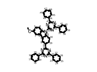 COc1ccc2c(c1)c1cc(-c3nc(-c4ccccc4)nc(-c4ccccc4)n3)ccc1n2-c1nc(-c2ccccc2)nc(-c2ccccc2)n1